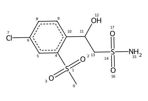 CS(=O)(=O)c1cc(Cl)ccc1C(O)CS(N)(=O)=O